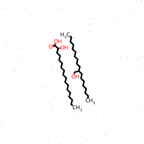 CCCCCCCCCCC(CO)CCCCCCCC.CCCCCCCCCCCCCCCCC(O)C(=O)O